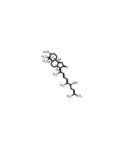 CC(=O)O[C@H]1CC[C@@]2(C)[C@@H](CC[C@]3(C)/C(=C(C)/C=C/C=C(\C)[C@@H](O)CC=C(C)C)C(=O)C[C@@H]23)C1(C)C